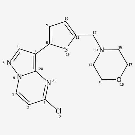 Clc1ccn2ncc(-c3ccc(CN4CCOCC4)s3)c2n1